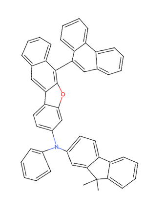 CC1(C)c2ccccc2-c2ccc(N(c3ccccc3)c3ccc4c(c3)oc3c(-c5cc6ccccc6c6ccccc56)c5ccccc5cc34)cc21